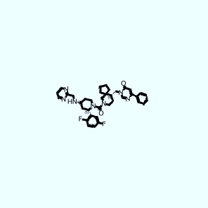 O=C(N1CC[C@@H](Cn2cnc(-c3ccccc3)cc2=O)C2(CCCC2)C1)N1CC[C@@H](NCc2ncccn2)C[C@H]1c1cc(F)ccc1F